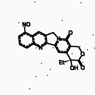 CC[C@@]1(O)C(=O)OCc2c1cc1n(c2=O)Cc2cc3c(N=O)cccc3nc2-1